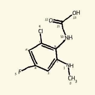 CNc1cc(F)cc(Cl)c1NC(=O)O